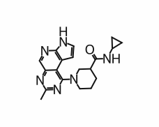 Cc1nc(N2CCCC(C(=O)NC3CC3)C2)c2c(cnc3[nH]ccc32)n1